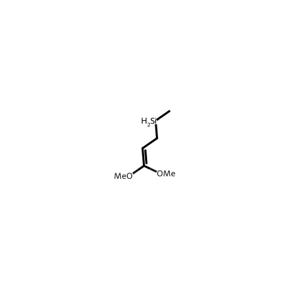 COC(=CC[SiH2]C)OC